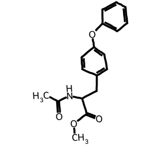 COC(=O)C(Cc1ccc(Oc2ccccc2)cc1)NC(C)=O